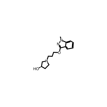 Cn1nc(OCCCN2CC[C@@H](O)C2)c2ccccc21